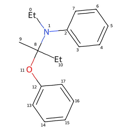 CCN(c1ccccc1)C(C)(CC)Oc1ccccc1